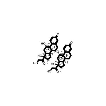 C[C@H]1C[C@H]2[C@@H]3CCC4=CC(=O)C=C[C@]4(C)[C@@]3(Cl)[C@@H](O)C[C@]2(C)[C@@]1(O)C(=O)CO.C[C@H]1C[C@H]2[C@@H]3CCC4=CC(=O)C=C[C@]4(C)[C@@]3(Cl)[C@@H](O)C[C@]2(C)[C@@]1(O)C(=O)CO